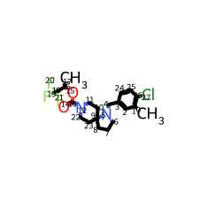 Cc1cc(CN2CCCC23CCN(C(=O)OC(C)C(F)(F)F)CC3)ccc1Cl